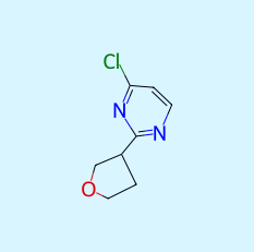 Clc1ccnc(C2CCOC2)n1